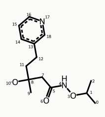 CC(C)ONC(=O)CC(C)([O])CCc1cccnc1